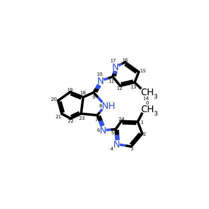 Cc1ccnc(N=C2NC(=Nc3cc(C)ccn3)c3ccccc32)c1